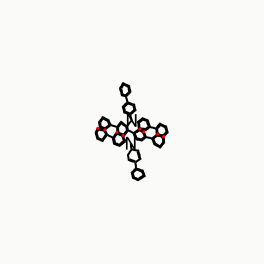 C1=CC(N(c2ccc(-c3ccccc3)cc2)c2cc(-c3ccccc3)ccc2-c2ccc(-c3ccccc3)cc2N(c2ccc(-c3ccccc3)cc2)c2ccc(-c3ccccc3)cc2)CC=C1c1ccccc1